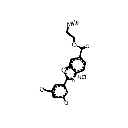 CNCCOC(=O)c1ccc2nc(-c3cc(Cl)cc(Cl)c3)oc2c1.Cl